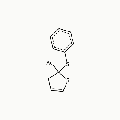 CC(=O)C1(Sc2ccccc2)CC=CS1